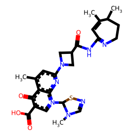 CC1=CC(NC(=O)C2CN(c3cc(C)c4c(=O)c(C(=O)O)cn(C5SN=CN5C)c4n3)C2)=NCCC1C